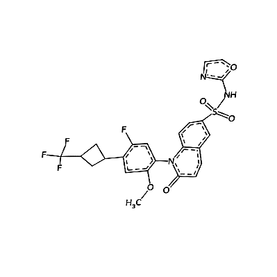 COc1cc(C2CC(C(F)(F)F)C2)c(F)cc1-n1c(=O)ccc2cc(S(=O)(=O)Nc3ncco3)ccc21